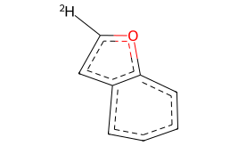 [2H]c1cc2ccccc2o1